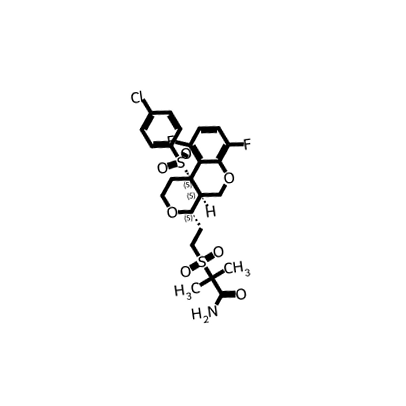 CC(C)(C(N)=O)S(=O)(=O)CC[C@@H]1OCC[C@@]2(S(=O)(=O)c3ccc(Cl)cc3)c3c(F)ccc(F)c3OC[C@@H]12